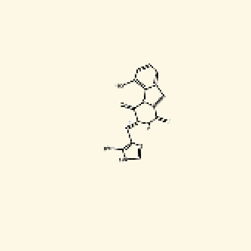 CC(C)(C)c1[nH]cnc1/C=c1\[nH]c(=O)c2cc3cccc(O)c3n2c1=O